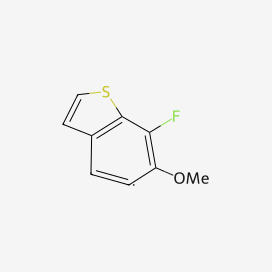 COc1[c]cc2ccsc2c1F